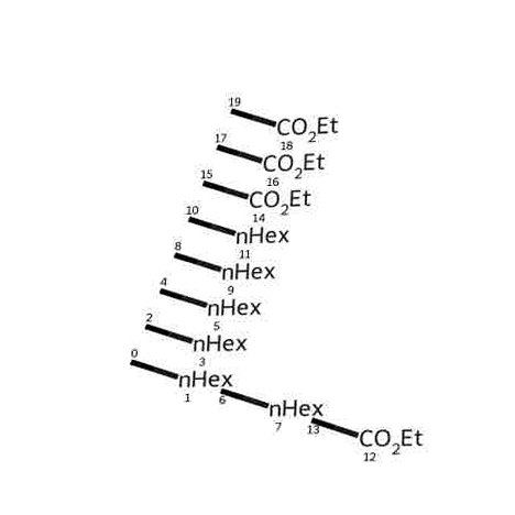 CCCCCCC.CCCCCCC.CCCCCCC.CCCCCCC.CCCCCCC.CCCCCCC.CCOC(C)=O.CCOC(C)=O.CCOC(C)=O.CCOC(C)=O